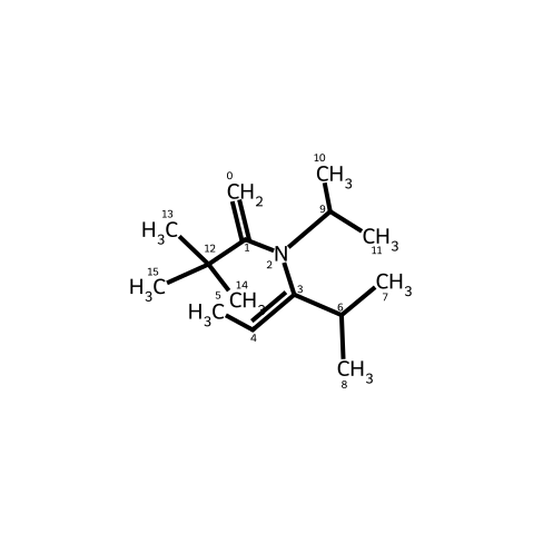 C=C(N(/C(=C\C)C(C)C)C(C)C)C(C)(C)C